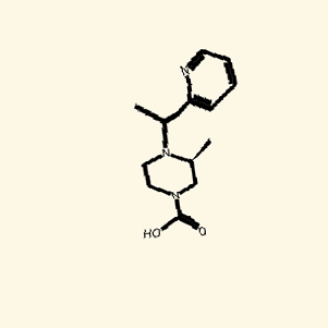 CC(c1ccccn1)N1CCN(C(=O)O)C[C@@H]1C